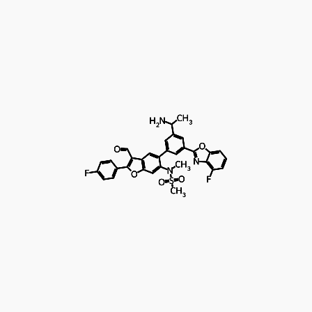 CC(N)c1cc(-c2nc3c(F)cccc3o2)cc(-c2cc3c(C=O)c(-c4ccc(F)cc4)oc3cc2N(C)S(C)(=O)=O)c1